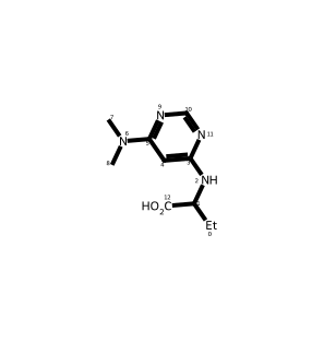 CCC(Nc1cc(N(C)C)ncn1)C(=O)O